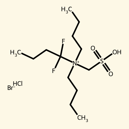 CCCC[N+](CCCC)(CS(=O)(=O)O)C(F)(F)CCC.Cl.[Br-]